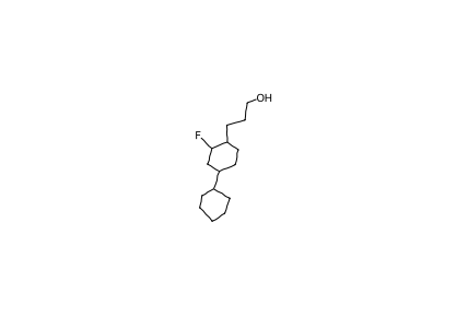 OCCCC1CCC(C2CCCCC2)CC1F